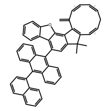 C=C1/C=C\C=C/C/C=C\C2=C1c1c(cc(-c3c4ccccc4c(-c4cccc5ccccc45)c4ccccc34)c3c1oc1ccccc13)C2(C)C